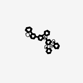 c1ccc2c(c1)Oc1cc(-n3c4ccccc4c4cc(-c5ccc6oc7ccccc7c6c5)ccc43)cc3c1B2c1ccccc1O3